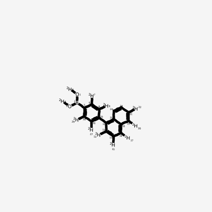 [2H]OB(O[2H])c1c([2H])c([2H])c(-c2c([2H])c([2H])c([2H])c3c([2H])c([2H])ccc23)c([2H])c1[2H]